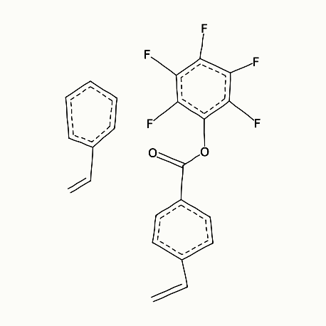 C=Cc1ccc(C(=O)Oc2c(F)c(F)c(F)c(F)c2F)cc1.C=Cc1ccccc1